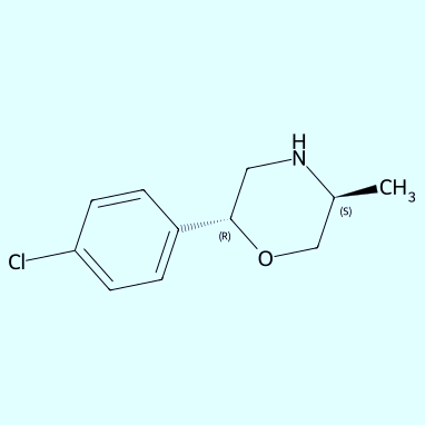 C[C@H]1CO[C@H](c2ccc(Cl)cc2)CN1